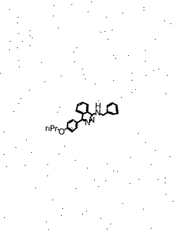 CCCOc1ccc(-c2nnc(NCc3ccccc3)c3ccccc23)cc1